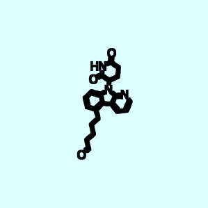 O=CCCCCc1cccc2c1c1cccnc1n2C1CCC(=O)NC1=O